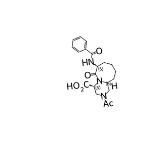 CC(=O)N1C[C@@H]2CCCC[C@H](NC(=O)c3ccccc3)C(=O)N2[C@H](C(=O)O)C1